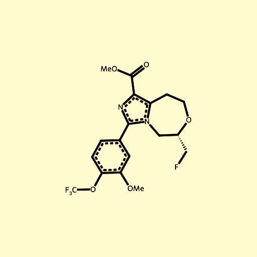 COC(=O)c1nc(-c2ccc(OC(F)(F)F)c(OC)c2)n2c1CCO[C@H](CF)C2